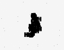 N=C(c1cccc(C(=O)Nc2ccccc2)c1)c1c(N)ncnc1NC1CC2CNC1C2